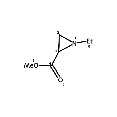 CCN1CC1C(=O)OC